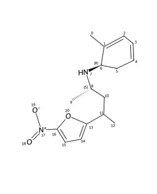 CC1=CC=CC[C@H]1N[C@@H](C)CC(C)c1ccc([N+](=O)[O-])o1